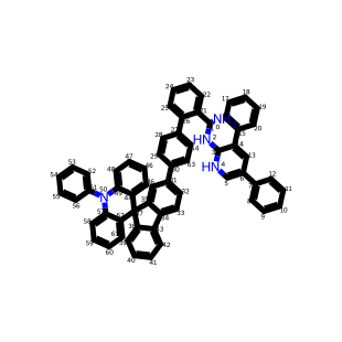 NC(NC1NC=C(c2ccccc2)C=C1c1ccccc1)c1ccccc1-c1ccc(-c2ccc3c(c2)C2(c4ccccc4-3)c3ccccc3N(c3ccccc3)c3ccccc32)cc1